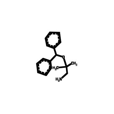 CC(C)(CN)OC(c1ccccc1)c1ccccc1